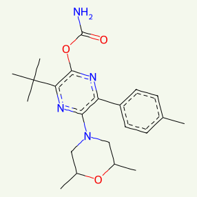 Cc1ccc(-c2nc(OC(N)=O)c(C(C)(C)C)nc2N2CC(C)OC(C)C2)cc1